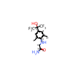 Cc1cc(C(O)(C(F)(F)F)C(F)(F)F)cc(C)c1NCC(N)=O